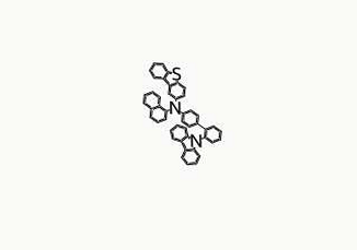 c1ccc(-n2c3ccccc3c3ccccc32)c(-c2ccc(N(c3ccc4sc5ccccc5c4c3)c3cccc4ccccc34)cc2)c1